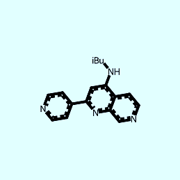 CCC(C)Nc1cc(-c2ccncc2)nc2cnccc12